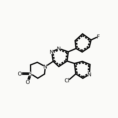 O=S1(=O)CCN(c2cc(-c3ccncc3Cl)c(-c3ccc(F)cc3)nn2)CC1